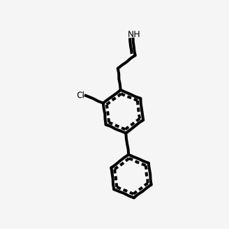 N=CCc1ccc(-c2ccccc2)cc1Cl